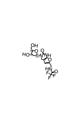 O=C1Nc2oc(CNC(=O)C(F)(F)F)cc2CN1[C@H]1C[C@H](O)[C@@H](CO)O1